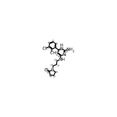 Cc1c(Cl)cccc1C1C=C(NCCCN2CCCC2=O)N=C(N)N1